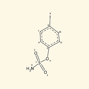 NS(=O)(=O)Oc1ccc(I)cc1